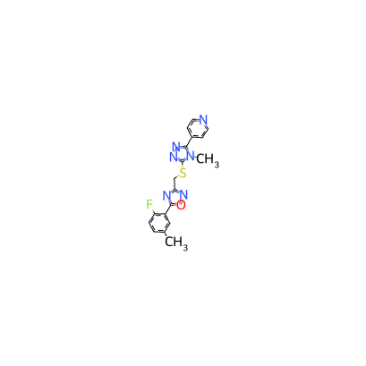 Cc1ccc(F)c(-c2nc(CSc3nnc(-c4ccncc4)n3C)no2)c1